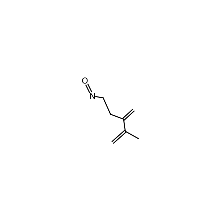 C=C(C)C(=C)CCN=O